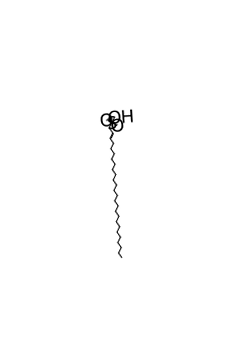 CCCCCCCCCCCCCCCCCCCCCCCC=CCS(=O)(=O)O